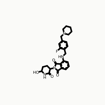 O=C1NC(O)CCC1N1C(=O)c2cccc(NCc3ccc(CN4CCCCC4)cc3F)c2C1=O